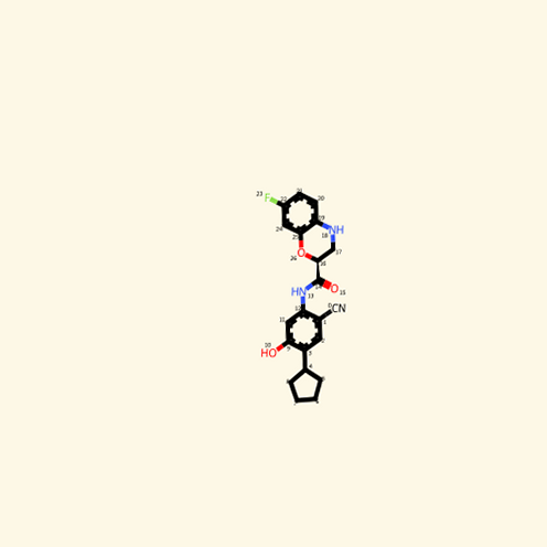 N#Cc1cc(C2CCCC2)c(O)cc1NC(=O)[C@@H]1CNc2ccc(F)cc2O1